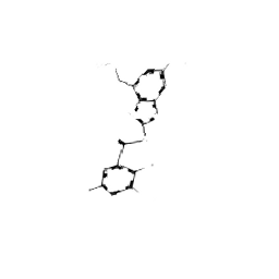 COCc1cc(C(F)(F)F)cc2sc(NC(=O)c3cc(Cl)cc(C)c3O)nc12